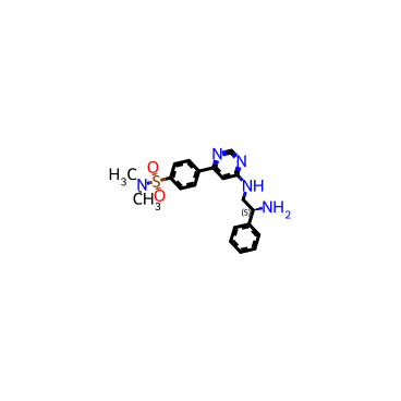 CN(C)S(=O)(=O)c1ccc(-c2cc(NC[C@@H](N)c3ccccc3)ncn2)cc1